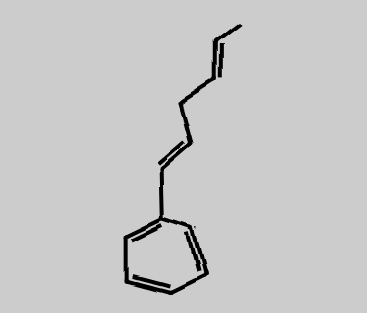 CC=CCC=Cc1[c]cccc1